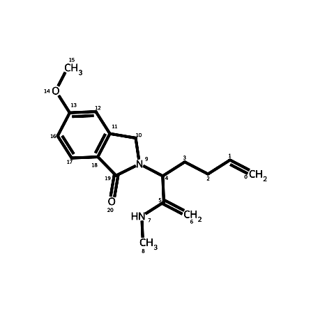 C=CCCC(C(=C)NC)N1Cc2cc(OC)ccc2C1=O